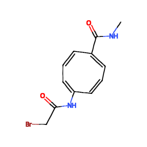 CNC(=O)C1=C/C=C\C(NC(=O)CBr)=C/C=C\1